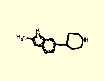 Cc1cc2ccc(C3CCNCC3)cc2[nH]1